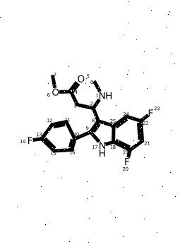 CNC(CC(=O)OC)c1c(-c2ccc(F)cc2)[nH]c2c(F)cc(F)cc12